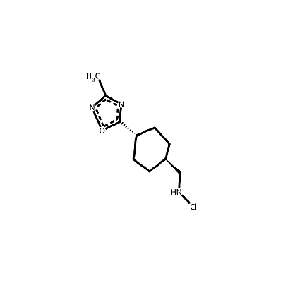 Cc1noc([C@H]2CC[C@H](CNCl)CC2)n1